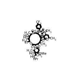 CCCNC[C@]1(O)[C@H](C)O[C@@H](OC2C(C)C(=O)OC(CC)C(C)(O)C(O)C(C)N(C)CC(C)CC(C)(O)C(O[C@@H]3O[C@H](C)C[C@H](N(C)S(=O)(=O)Nc4ccc(C(F)(F)F)cc4)[C@H]3O)C2C)C[C@@]1(C)OC